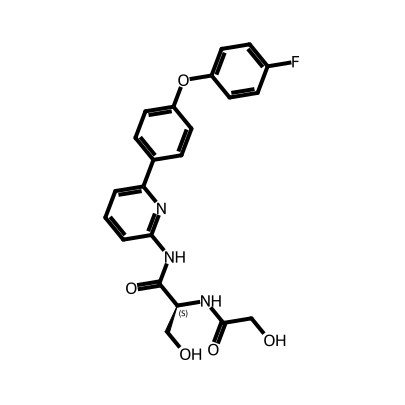 O=C(CO)N[C@@H](CO)C(=O)Nc1cccc(-c2ccc(Oc3ccc(F)cc3)cc2)n1